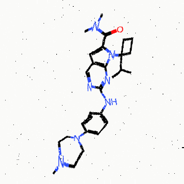 CC(C)C1(n2c(C(=O)N(C)C)cc3cnc(Nc4ccc(N5CCN(C)CC5)cc4)nc32)CCC1